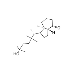 C[C@H](C1CC[C@H]2C(=O)CCC[C@]12C)C(C)(C)CCC(C)(C)O